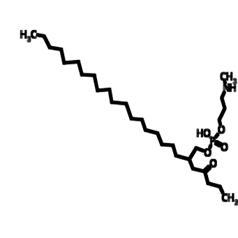 CCCCCCCCCCCCCCCCCCCC(COP(=O)(O)OCCCNC)CC(=O)CCC